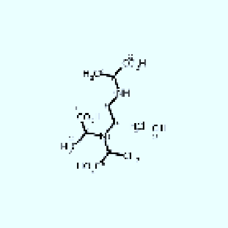 CC(NCCN(C(C)C(=O)O)C(C)C(=O)O)C(=O)O.Cl.Cl